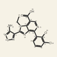 CCn1c(-c2nonc2N)nc2c(-c3cccc(Cl)c3Cl)ncc(C(=O)O)c21